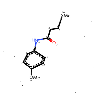 COc1ccc(NC(=O)CCSC)cc1